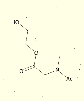 CC(=O)N(C)CC(=O)OCCO